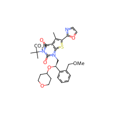 COCc1ccccc1[C@H](Cn1c(=O)n(C(C)(C)C(=O)O)c(=O)c2c(C)c(-c3ncco3)sc21)OC1CCOCC1